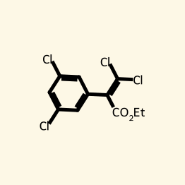 CCOC(=O)C(=C(Cl)Cl)c1cc(Cl)cc(Cl)c1